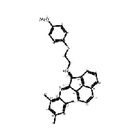 COc1ccc(SCC/N=C2/C(=N/c3c(C)cc(C)cc3C)c3cccc4cccc2c34)cc1